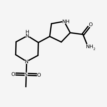 CS(=O)(=O)N1CCNC(C2CNC(C(N)=O)C2)C1